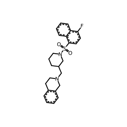 O=S(=O)(c1ccc(F)c2ccccc12)N1CCCC(CN2CCc3ccccc3C2)C1